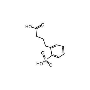 O=C(O)CCCc1ccccc1S(=O)(=O)O